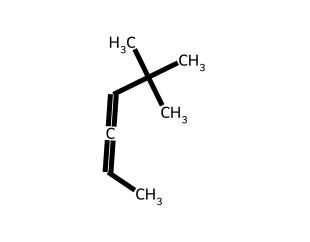 CC=C=CC(C)(C)C